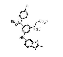 CCO[C@@H](c1ccc(F)cc1)c1cc(Nc2ccc3nc(C)sc3c2)cc([C@@H](CC)CC(=O)O)c1